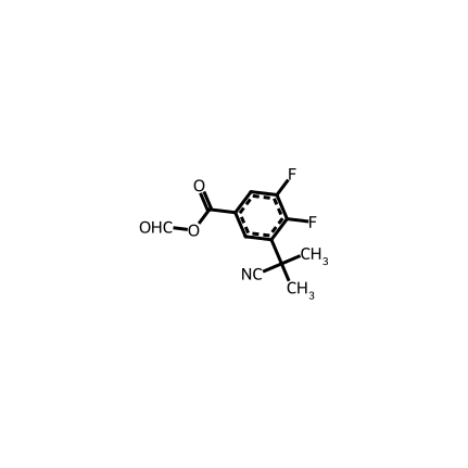 CC(C)(C#N)c1cc(C(=O)OC=O)cc(F)c1F